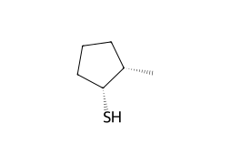 C[C@H]1CCC[C@H]1S